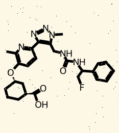 Cc1nc(-c2nnn(C)c2CNC(=O)NC(CF)c2ccccc2)ccc1O[C@H]1CCC[C@H](C(=O)O)C1